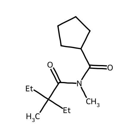 CCC(C)(CC)C(=O)N(C)C(=O)C1CCCC1